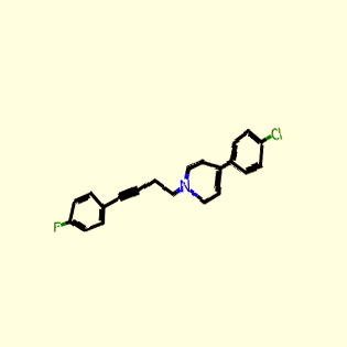 Fc1ccc(C#CCCN2CC=C(c3ccc(Cl)cc3)CC2)cc1